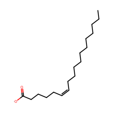 CCCCCCCCCCC/C=C\CCCCC([O])=O